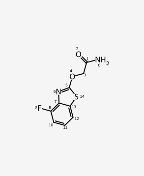 NC(=O)COc1nc2c(F)cccc2s1